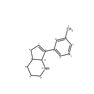 Cc1cncc(C2=CCC3CCCNC23)c1